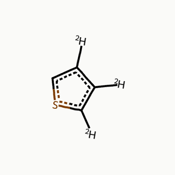 [2H]c1csc([2H])c1[2H]